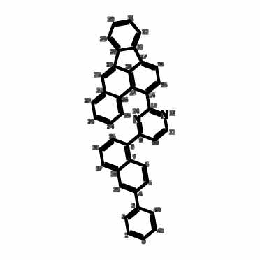 c1ccc(-c2ccc3c(-c4ccnc(-c5ccc6c7c(cc8ccccc8c57)-c5ccccc5-6)n4)cccc3c2)cc1